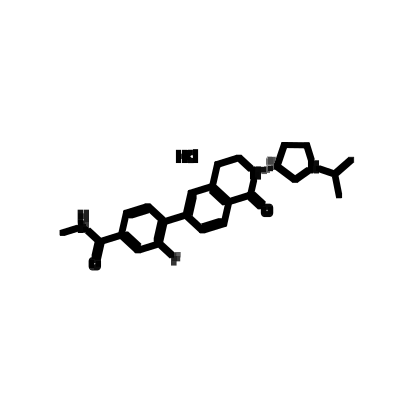 CNC(=O)c1ccc(-c2ccc3c(c2)CCN([C@@H]2CCN(C(C)C)C2)C3=O)c(F)c1.Cl